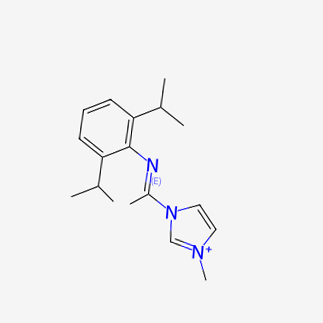 C/C(=N\c1c(C(C)C)cccc1C(C)C)n1cc[n+](C)c1